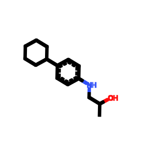 CC(O)CNc1ccc(C2CCCCC2)cc1